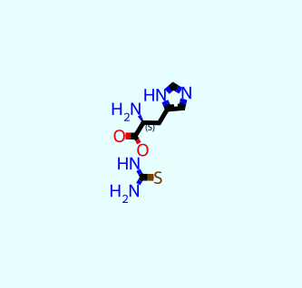 NC(=S)NOC(=O)[C@@H](N)Cc1cnc[nH]1